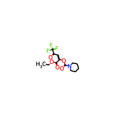 CCOC(=O)C(=CC(=O)C(F)(F)F)OC(=O)N1CCCCC1